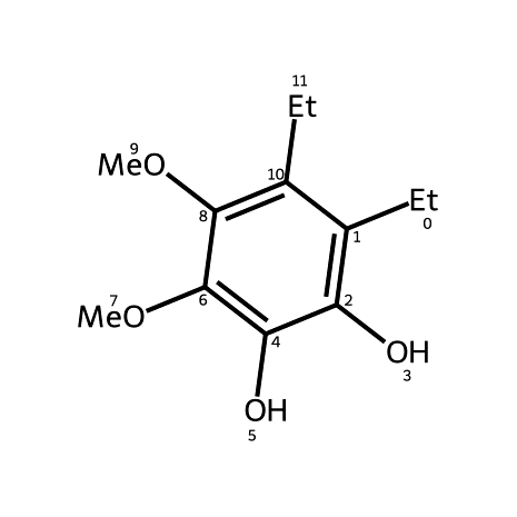 CCc1c(O)c(O)c(OC)c(OC)c1CC